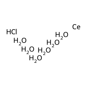 Cl.O.O.O.O.O.O.[Ce]